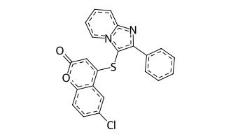 O=c1cc(Sc2c(-c3ccccc3)nc3ccccn23)c2cc(Cl)ccc2o1